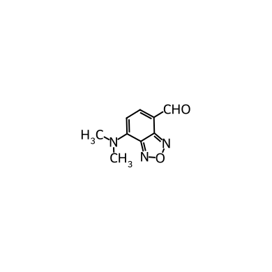 CN(C)c1ccc(C=O)c2nonc12